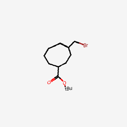 CC(C)(C)OC(=O)C1CCCCC(CBr)CC1